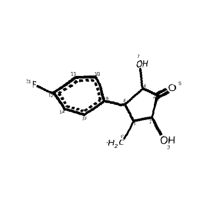 [CH2]C1C(O)C(=O)C(O)C1c1ccc(F)cc1